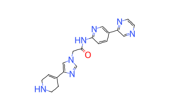 O=C(Cn1cnc(C2=CCNCC2)c1)Nc1ccc(-c2cnccn2)cn1